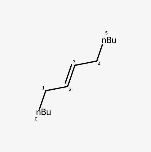 [CH2]CCCCC=CCCC[CH]C